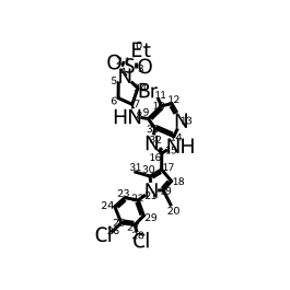 CCS(=O)(=O)N1CC[C@H](Nc2c(Br)cnc3[nH]c(-c4cc(C)n(-c5ccc(Cl)c(Cl)c5)c4C)nc23)C1